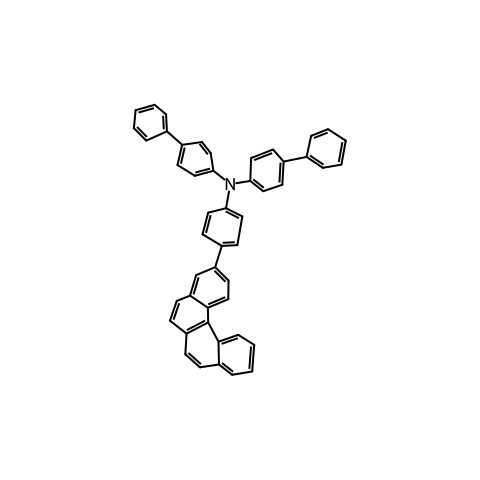 c1ccc(-c2ccc(N(c3ccc(-c4ccccc4)cc3)c3ccc(-c4ccc5c(ccc6ccc7ccccc7c65)c4)cc3)cc2)cc1